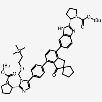 CC(C)(C)OC(=O)N1CCC[C@H]1c1nc2ccc(-c3ccc(-c4ccc(-c5cnc([C@@H]6CCCN6C(=O)OC(C)(C)C)n5COCC[Si](C)(C)C)cc4)c4c3CC3(CCCC3)C4=O)cc2[nH]1